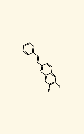 Fc1cc2ccc(C=Cc3c[c]ccc3)nc2cc1F